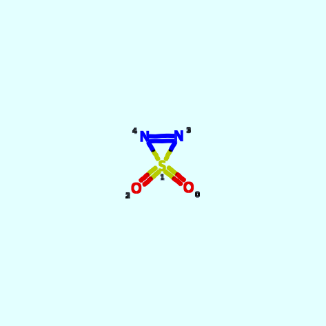 O=S1(=O)N=N1